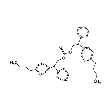 CCCCc1ccc(C(COC(=O)OCC(c2ccccc2)c2ccc(CCCC)cc2)c2ccccc2)cc1